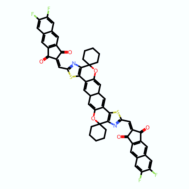 O=C1C(=Cc2nc3c(s2)C2=CC4C=C5OC6(CCCCC6)c6nc(C=C7C(=O)c8cc9cc(F)c(F)cc9cc8C7=O)sc6C5=CC4C=C2OC32CCCCC2)C(=O)c2cc3cc(F)c(F)cc3cc21